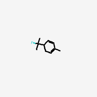 CC1=CCC(C(C)(C)F)C=C1